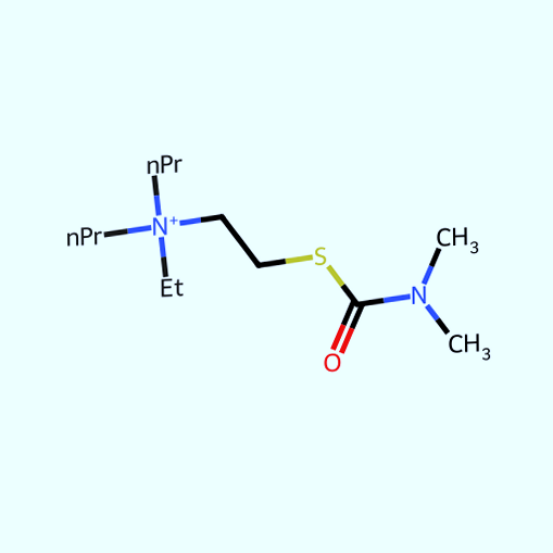 CCC[N+](CC)(CCC)CCSC(=O)N(C)C